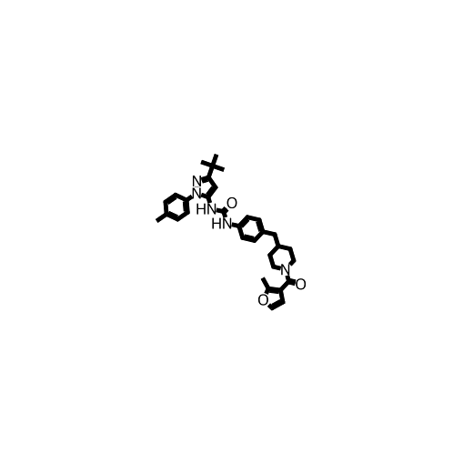 Cc1ccc(-n2nc(C(C)(C)C)cc2NC(=O)Nc2ccc(CC3CCN(C(=O)c4ccoc4C)CC3)cc2)cc1